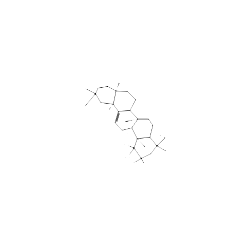 CC1(C)CC[C@]2(C)CC[C@]3(C)C(=CC[C@@H]4[C@]5(C)[C@@H](CC[C@]43C)C(C)(C)CC(O)(O)C5(O)O)[C@@H]2C1